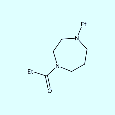 CCC(=O)N1CCCN(CC)CC1